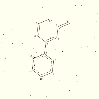 C=C/C=C(\C=C/C)c1ccccp1